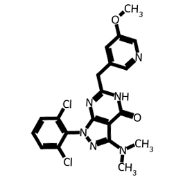 COc1cncc(Cc2nc3c(c(N(C)C)nn3-c3c(Cl)cccc3Cl)c(=O)[nH]2)c1